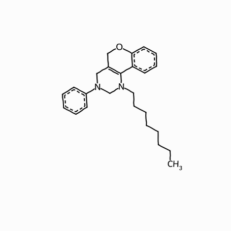 CCCCCCCCN1CN(c2ccccc2)CC2=C1c1ccccc1OC2